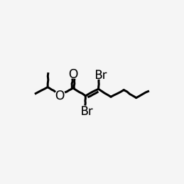 CCCCC(Br)=C(Br)C(=O)OC(C)C